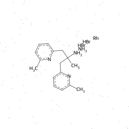 Br.Br.Cc1cccc(CC(C)(N)Cc2cccc(C)n2)n1.N.[Rh]